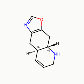 C1=C[C@H]2Cc3ncoc3C[C@@H]2NC1